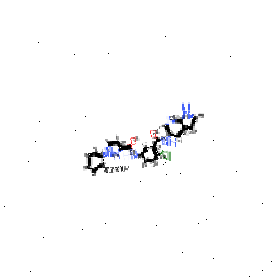 COc1ccccc1-n1ccc(C(=O)Nc2ccc(Cl)c(C(=O)Nc3cnc4[nH]ccc4c3)c2)n1